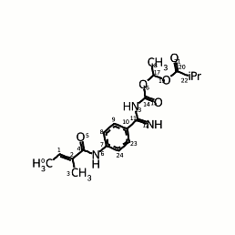 C/C=C(\C)C(=O)Nc1ccc(C(=N)NC(=O)OC(C)OC(=O)C(C)C)cc1